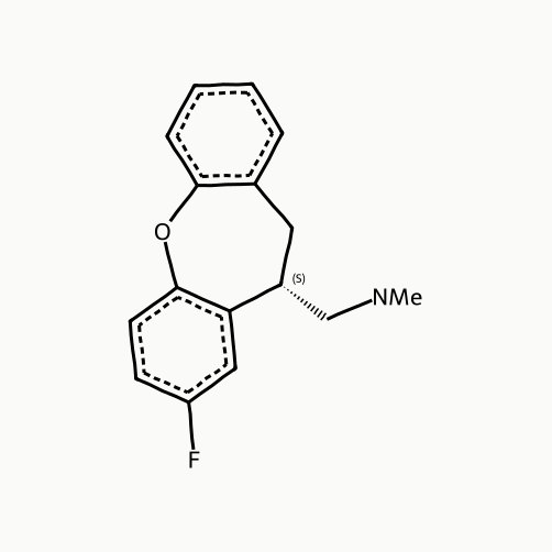 CNC[C@H]1Cc2ccccc2Oc2ccc(F)cc21